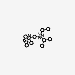 c1ccc(-c2cccc(-c3nc(-c4ccc(-c5nc6ccccc6c6c5-c5ccccc5C65c6ccccc6-c6ccccc65)cc4)nc(-c4cc(-c5ccccc5)cc(-c5ccccc5)c4)n3)c2)cc1